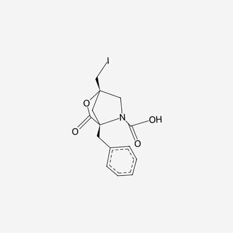 O=C(O)N1C[C@]2(CI)C[C@@]1(Cc1ccccc1)C(=O)O2